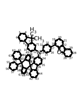 CC1(C)c2ccccc2-c2ccc(N(c3ccc(-c4cccc5c4oc4ccccc45)cc3)c3ccc4c(c3)C3(c5ccccc5-4)c4ccccc4C(c4ccccc4)(c4ccccc4)c4ccccc43)cc21